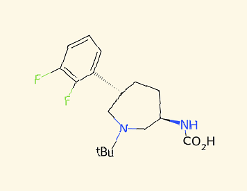 CC(C)(C)N1C[C@H](NC(=O)O)CC[C@@H](c2cccc(F)c2F)C1